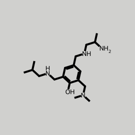 CC(C)CNCc1cc(CNCC(C)N)cc(CN(C)C)c1O